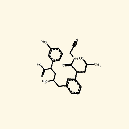 CC(C)CC(C(=O)NCC#N)c1cccc(CC(C)CC(C(=O)O)c2cccc(O)c2)c1